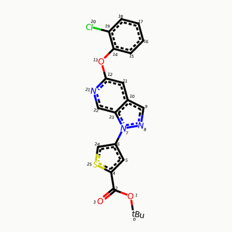 CC(C)(C)OC(=O)c1cc(-n2ncc3cc(Oc4ccccc4Cl)ncc32)cs1